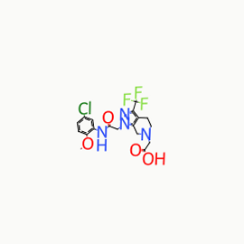 COc1ccc(Cl)cc1NC(=O)Cn1nc(C(F)(F)F)c2c1CN(CC(=O)O)CC2